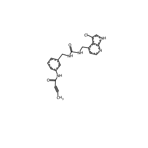 CC#CC(=O)Nc1cccc(CNC(=O)NCc2ccnc3[nH]cc(Cl)c23)c1